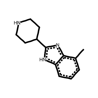 Cc1cccc2[nH]c(C3CCNCC3)nc12